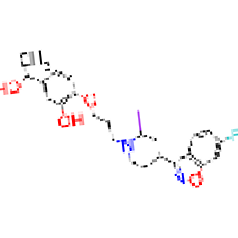 CC(O)c1ccc(OCCCN2CCC(c3noc4cc(F)ccc34)CC2I)c(O)c1